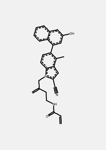 C=CC(=O)NCCC(=C)Cn1c(C#N)cc2c(C)c(-c3cc(O)cc4ccccc34)ccc21